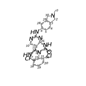 CN1Cc2ccc(Nc3ncc4c(=N)n(-c5c(Cl)cccc5Cl)c(=O)[nH]c4n3)cc2C1